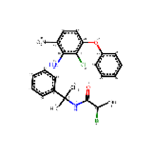 CC(C)(NC(=O)C(Br)C(C)(C)C)c1ccccc1.Nc1c([N+](=O)[O-])ccc(Oc2ccccc2)c1Cl